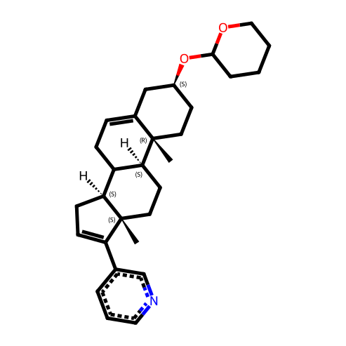 C[C@]12CC[C@H](OC3CCCCO3)CC1=CCC1[C@@H]2CC[C@]2(C)C(c3cccnc3)=CC[C@@H]12